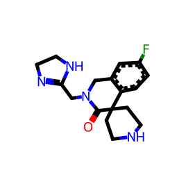 O=C1N(CC2=NCCN2)Cc2cc(F)ccc2C12CCNCC2